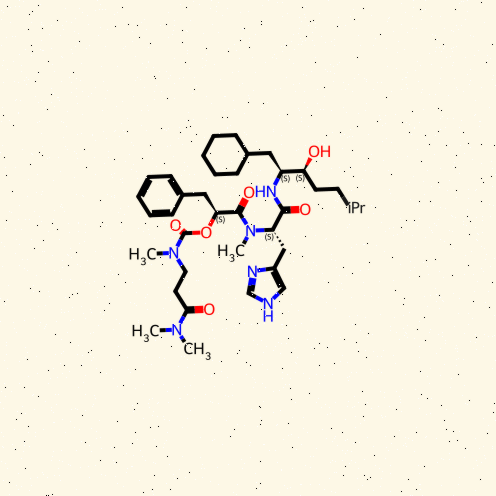 CC(C)CC[C@H](O)[C@H](CC1CCCCC1)NC(=O)[C@H](Cc1c[nH]cn1)N(C)C(=O)[C@H](Cc1ccccc1)OC(=O)N(C)CCC(=O)N(C)C